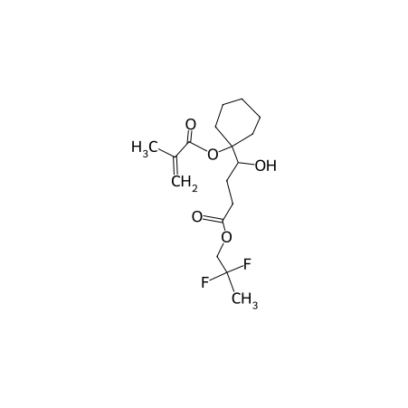 C=C(C)C(=O)OC1(C(O)CCC(=O)OCC(C)(F)F)CCCCC1